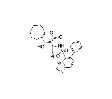 CC(C)CC(NS(=O)(=O)c1c(-c2ccccc2)ccc2nsnc12)c1c(O)c2c(oc1=O)CCCCCC2